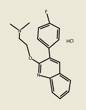 CN(C)CCOc1nc2ccccc2cc1-c1ccc(F)cc1.Cl